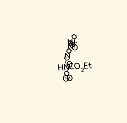 CCOC(=O)CC(NC(=O)CC1CCN(c2ccc(-n3cnn(C(C)c4ccccc4)c3=O)cc2)CC1)c1ccc2c(c1)OCO2